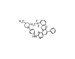 CC1CCN(c2ccc(Nc3ncc4cc(-c5ccccc5)c(=O)n(Cc5ccccc5C(C)(F)F)c4n3)cc2)CC1